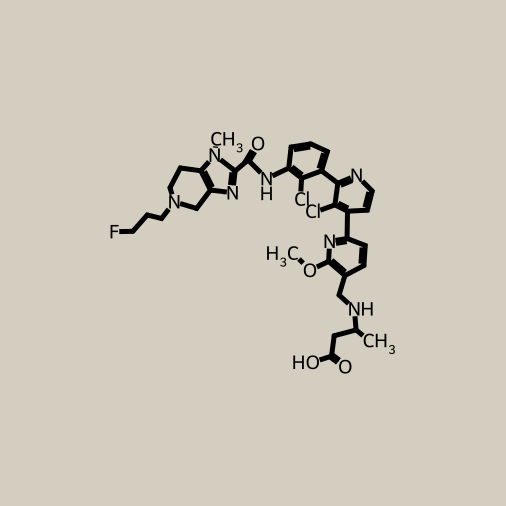 COc1nc(-c2ccnc(-c3cccc(NC(=O)c4nc5c(n4C)CCN(CCCF)C5)c3Cl)c2Cl)ccc1CNC(C)CC(=O)O